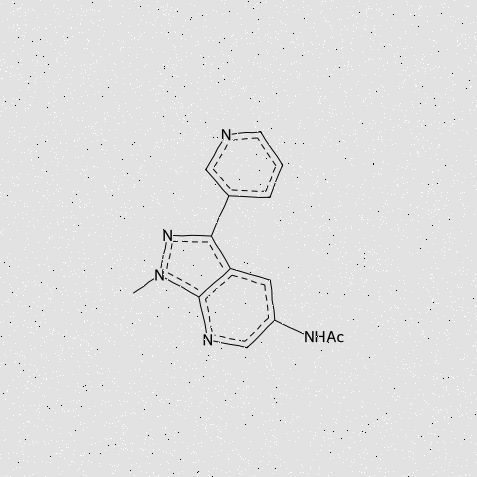 CC(=O)Nc1cnc2c(c1)c(-c1cccnc1)nn2C